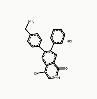 Cl.NCc1ccc(-c2nc3c(Cl)c[nH]c(=O)c3cc2-c2ccccc2)cc1